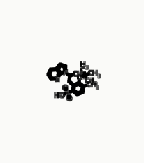 Cc1ccc(S(=O)(=O)O)c(CC(C)n2ccc3cccnc32)c1OC(C)(C)C